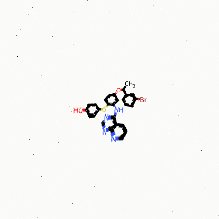 CC(Oc1ccc(Sc2ccc(O)cc2)c(Nc2ncnc3ncccc23)c1)c1cccc(Br)c1